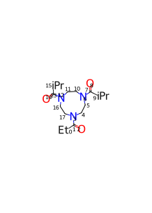 CCC(=O)N1CCN(C(=O)C(C)C)CCN(C(=O)C(C)C)CC1